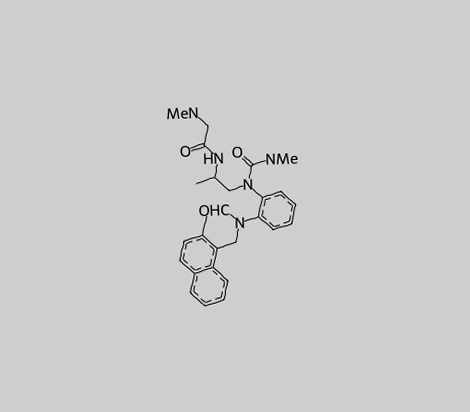 CNCC(=O)NC(C)CN(C(=O)NC)c1ccccc1N(C=O)Cc1c(C)ccc2ccccc12